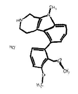 COc1cccc(-c2cccc3c2c2c(n3C)CNCC2)c1OC.Cl